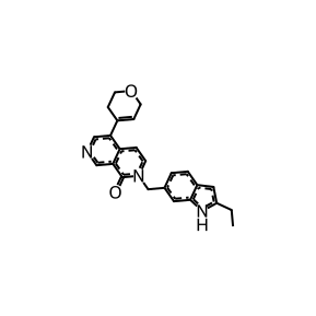 CCc1cc2ccc(Cn3ccc4c(C5=CCOCC5)cncc4c3=O)cc2[nH]1